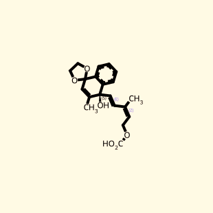 CC1=CC2(OCCO2)c2ccccc2[C@]1(O)/C=C/C(C)=C\COC(=O)O